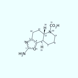 Nc1nc2c(o1)[C@@H]1CCCN(C(=O)O)[C@H]1CC2